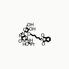 CC(C)C(=O)Nc1nc2c(ncn2C2O[C@H](CO)C(O)C2OCCCCCCN2C(=O)c3ccccc3C2=O)c(=O)[nH]1